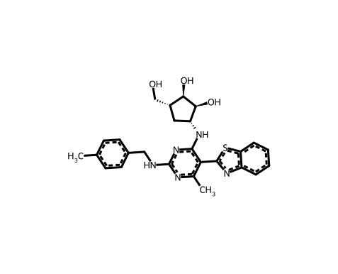 Cc1ccc(CNc2nc(C)c(-c3nc4ccccc4s3)c(N[C@@H]3C[C@H](CO)[C@@H](O)[C@H]3O)n2)cc1